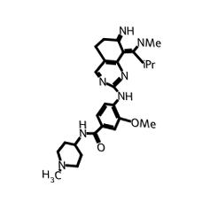 CN/C(=C1\C(=N)CCc2cnc(Nc3ccc(C(=O)NC4CCN(C)CC4)cc3OC)nc21)C(C)C